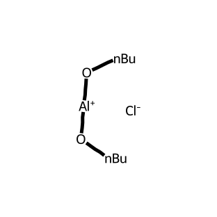 CCCC[O][Al+][O]CCCC.[Cl-]